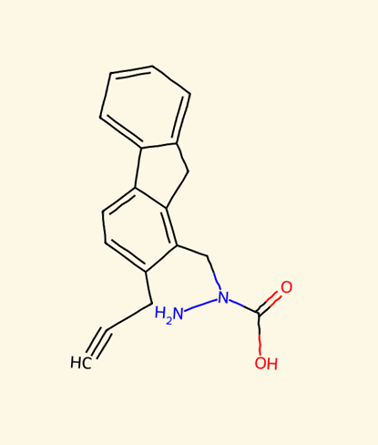 C#CCc1ccc2c(c1CN(N)C(=O)O)Cc1ccccc1-2